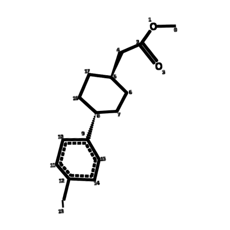 COC(=O)C[C@H]1CC[C@H](c2ccc(I)cc2)CC1